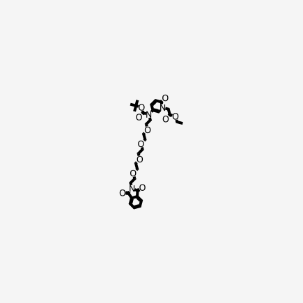 CCOC(=O)Cn1cc(N(CCOCCOCCOCCOCCN2C(=O)c3ccccc3C2=O)C(=O)OC(C)(C)C)ccc1=O